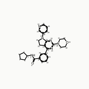 O=C(NC1CCCC1)c1cccc(-c2nc(N3CCOCC3)nc3c2CCN3c2cccnc2)c1